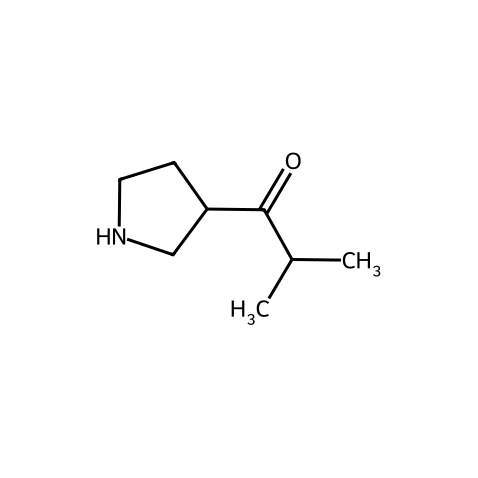 CC(C)C(=O)C1CCNC1